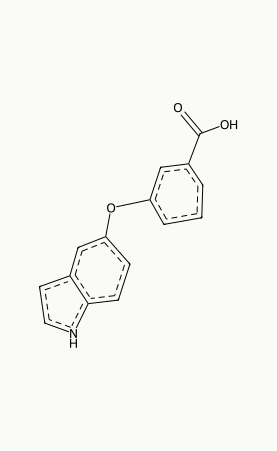 O=C(O)c1cccc(Oc2ccc3[nH]ccc3c2)c1